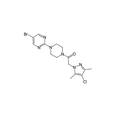 Cc1nn(CC(=O)N2CCN(c3ncc(Br)cn3)CC2)c(C)c1Cl